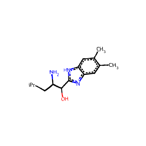 Cc1cc2nc(C(O)C(N)CC(C)C)[nH]c2cc1C